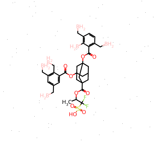 BCc1cc(CB)c(CB)c(C(=O)OC23CC4CC(OC(=O)c5c(CB)ccc(CB)c5B)(C2)CC(C(=O)OC(C)C(F)(F)S(=O)(=O)O)(C4)C3)c1